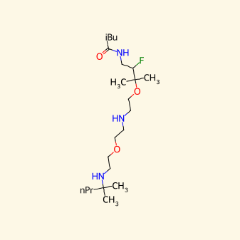 CCCC(C)(C)NCCOCCNCCOC(C)(C)C(F)CNC(=O)C(C)CC